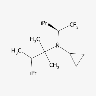 CC(C)C(C)C(C)(C)N(C1CC1)[C@@H](C(C)C)C(F)(F)F